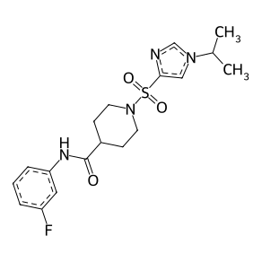 CC(C)n1cnc(S(=O)(=O)N2CCC(C(=O)Nc3cccc(F)c3)CC2)c1